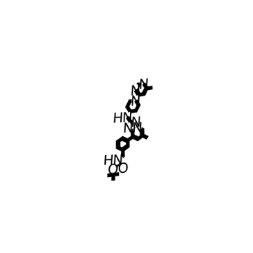 Cc1cc(-c2cccc(CNC(=O)OC(C)(C)C)c2)c2nc(NC3CCN(c4cc(C)ncn4)CC3)nn2c1